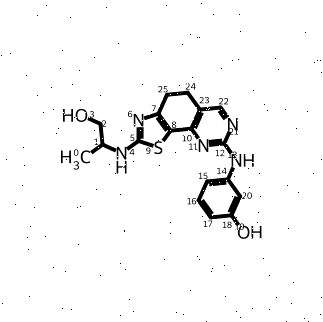 CC(CO)Nc1nc2c(s1)-c1nc(Nc3cccc(O)c3)ncc1CC2